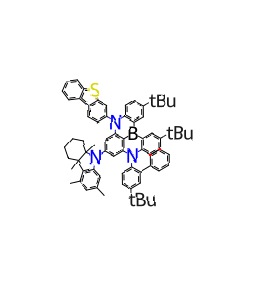 Cc1cc(C)c2c(c1)N(c1cc3c4c(c1)N(c1ccc(C(C)(C)C)cc1-c1ccccc1)c1ccc(C(C)(C)C)cc1B4c1cc(C(C)(C)C)ccc1N3c1ccc3c(c1)sc1ccccc13)C1(C)CCCCC21C